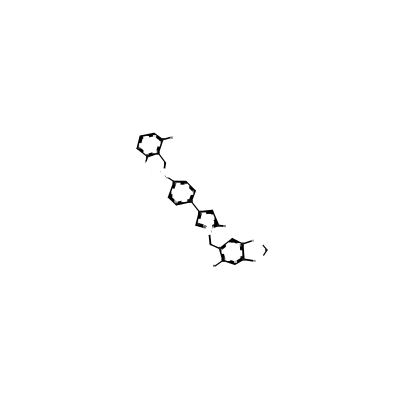 O=C(O)c1cc(-c2ccc(NCc3c(F)cccc3F)cc2)cn1Cc1cc2c(cc1Cl)OCO2